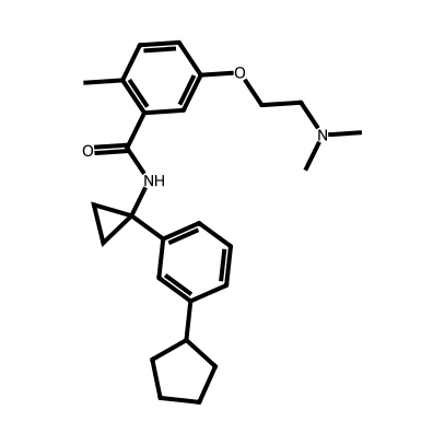 Cc1ccc(OCCN(C)C)cc1C(=O)NC1(c2cccc(C3CCCC3)c2)CC1